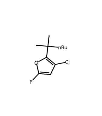 CCCCC(C)(C)c1oc(F)cc1Cl